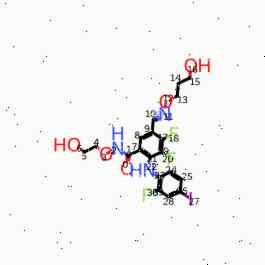 O=C(NOCCO)c1cc(/C=N/OCCCO)c(F)c(F)c1Nc1ccc(I)cc1F